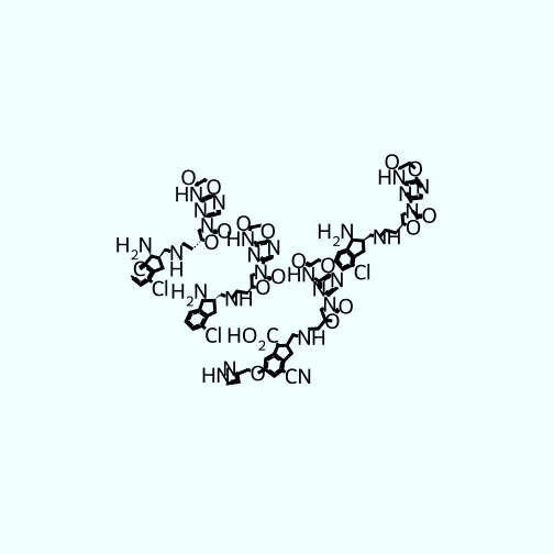 N#Cc1cc(OCc2cc[nH]n2)cc2c1CC(CNCCC1CN(c3cnc4c(n3)NC(=O)CO4)C(=O)O1)C2C(=O)O.N[C@@H]1c2cccc(Cl)c2C[C@H]1CNCC[C@H]1CN(c2cnc3c(n2)NC(=O)CO3)C(=O)O1.N[C@H]1c2cccc(Cl)c2C[C@@H]1CNCC[C@@H]1CN(c2cnc3c(n2)NC(=O)CO3)C(=O)O1.N[C@H]1c2cccc(Cl)c2C[C@@H]1CNCC[C@H]1CN(c2cnc3c(n2)NC(=O)CO3)C(=O)O1